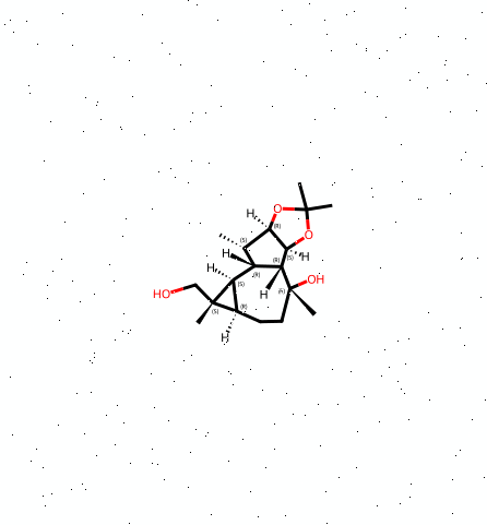 C[C@@H]1[C@H]2OC(C)(C)O[C@H]2[C@H]2[C@@H]1[C@H]1[C@@H](CC[C@@]2(C)O)[C@]1(C)CO